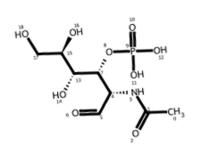 CC(=O)N[C@H](C=O)[C@@H](OP(=O)(O)O)[C@H](O)[C@H](O)CO